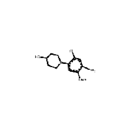 COc1cc(N2CCC(O)CC2)c(Cl)cc1N